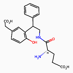 N[C@@H](CCC(=O)O)C(=O)NCC(c1ccccc1)c1cc(CC(=O)O)ccc1O